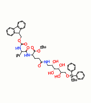 CC(C)C(NC(=O)OCC1c2ccccc2-c2ccccc21)C(=O)NC(CCC(=O)NC[C@H](O)[C@@H](O)[C@H](O)[C@H](O)CO[Si](c1ccccc1)(c1ccccc1)C(C)(C)C)C(=O)OC(C)(C)C